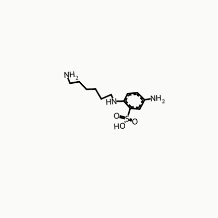 NCCCCCCNc1ccc(N)cc1S(=O)(=O)O